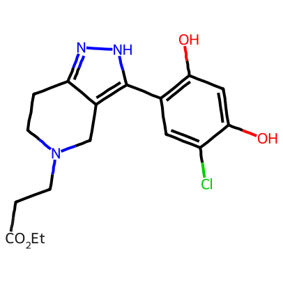 CCOC(=O)CCN1CCc2n[nH]c(-c3cc(Cl)c(O)cc3O)c2C1